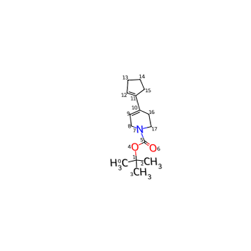 CC(C)(C)OC(=O)N1CC=C(C2=CCCC2)CC1